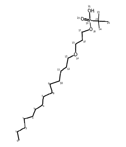 CCCCCCCCCCCCCCOCCCOP(=O)(O)C(C)(C)C